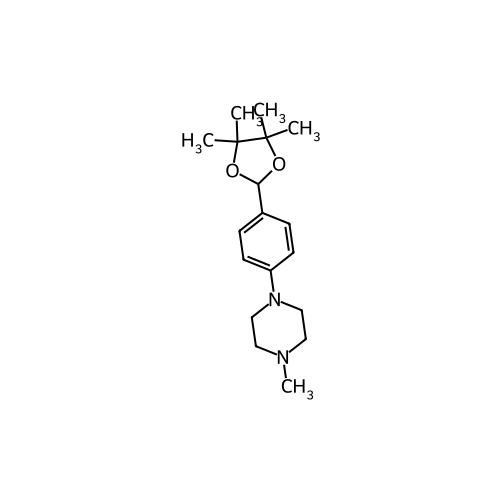 CN1CCN(c2ccc(C3OC(C)(C)C(C)(C)O3)cc2)CC1